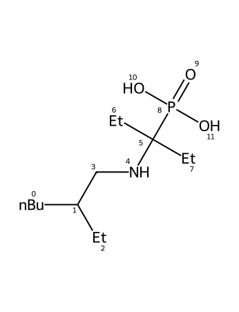 CCCCC(CC)CNC(CC)(CC)P(=O)(O)O